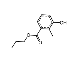 CCCOC(=O)c1cccc(O)c1C